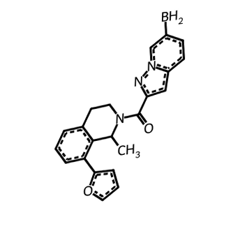 Bc1ccc2cc(C(=O)N3CCc4cccc(-c5ccco5)c4C3C)nn2c1